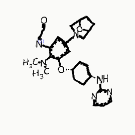 CN(C)c1c(/N=C\C=O)cc(N2CC3CCC(C2)O3)cc1O[C@H]1CC[C@@H](Nc2ncccn2)CC1